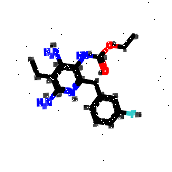 CCOC(=O)Nc1c(Cc2cccc(F)c2)nc(N)c(CC)c1N